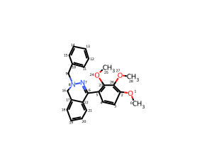 COc1ccc(C2=NN(Cc3ccccc3)Cc3ccccc32)c(OC)c1OC